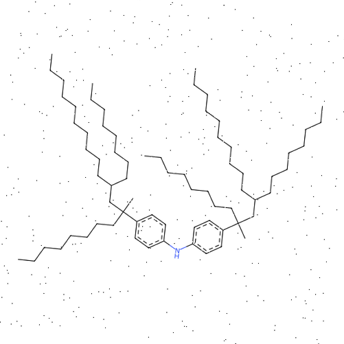 CCCCCCCCCCC(CCCCCCCC)CC(C)(CCCCCCCC)c1ccc(Nc2ccc(C(C)(CCCCCCCC)CC(CCCCCCCC)CCCCCCCCCC)cc2)cc1